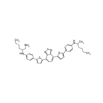 CCCCC(C)Nc1ccc(-c2ccc(-c3ccc(-c4ccc(-c5ccc(NC(CN)CCCC)cc5)s4)c4nsnc34)s2)cc1